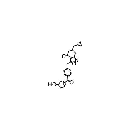 O=C1CC(CC2CC2)Cc2noc(Cc3ccc(C(=O)N4CCC(O)C4)cc3)c21